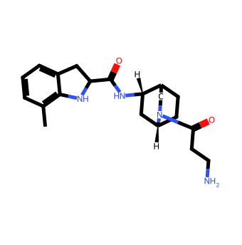 Cc1cccc2c1NC(C(=O)N[C@H]1C[C@H]3CCC1CN3C(=O)CCN)C2